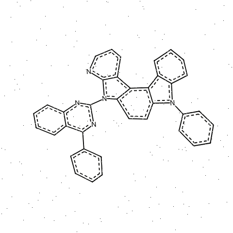 c1ccc(-c2nc(-n3c4ccc5c(c6ccccc6n5-c5ccccc5)c4c4cccnc43)nc3ccccc23)cc1